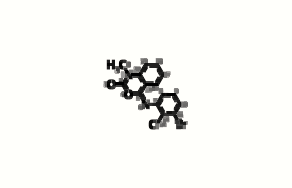 Cn1c(=O)o/c(=N/c2cccc(Br)c2Cl)c2ccccc21